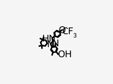 Cc1cc2c(cc1CO)nc(Nc1ccc(OC(F)(F)F)cc1)n2C1CC(C)(C)CC(C)(C)C1